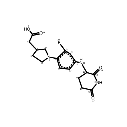 O=C(O)CC1CCN(c2ccc(NC3CCC(=O)NC3=O)cc2F)C1